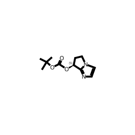 CC(C)(C)OC(=O)O[C@H]1CCn2ccnc21